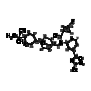 CCc1noc(-c2cccc(N(CC34CCC(c5ccc(C(C)(C)C#N)cc5)(CC3)OC4)C(=O)C34CC(F)(C3)C4)c2)n1